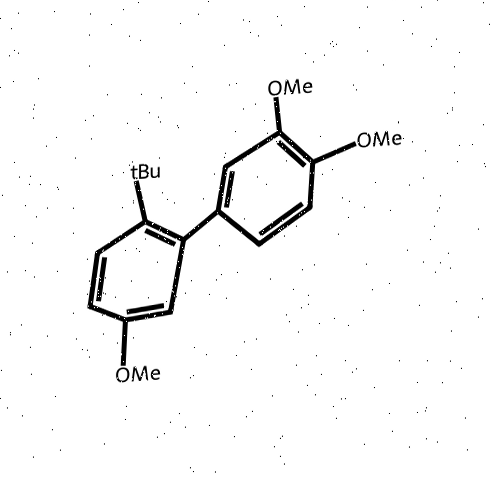 COc1ccc(C(C)(C)C)c(-c2ccc(OC)c(OC)c2)c1